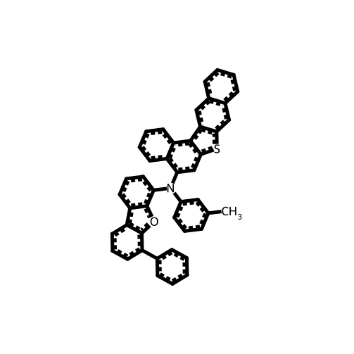 Cc1cccc(N(c2cc3sc4cc5ccccc5cc4c3c3ccccc23)c2cccc3c2oc2c(-c4ccccc4)cccc23)c1